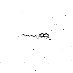 CCCCCCCCOc1ccc2ccc(=O)oc2c1